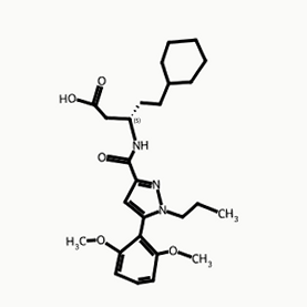 CCCn1nc(C(=O)N[C@@H](CCC2CCCCC2)CC(=O)O)cc1-c1c(OC)cccc1OC